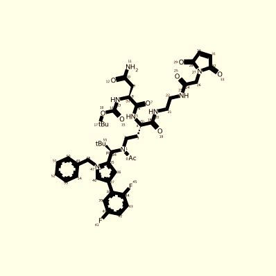 CC(=O)N(CC[C@H](NC(=O)[C@H](CC(N)=O)NC(=O)OC(C)(C)C)C(=O)NCCNC(=O)CN1C(=O)C=CC1=O)[C@@H](c1cc(-c2cc(F)ccc2F)cn1Cc1ccccc1)C(C)(C)C